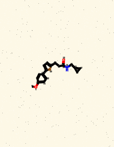 COc1ccc(-c2ccc(CCC(=O)NCC3CC3)s2)cc1